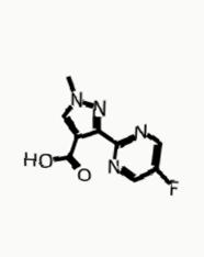 Cn1cc(C(=O)O)c(-c2ncc(F)cn2)n1